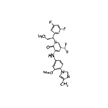 COc1cc(Nc2cc(C(F)F)cn([C@@H](CO)c3cc(F)cc(F)c3)c2=O)ccc1-n1cnc(C)c1